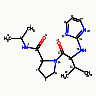 CC(C)NC(=O)C1CCCN1C(=O)C(Nc1ncccn1)C(C)C